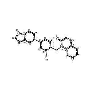 O=c1cnc2ccncc2n1Cc1c(F)cc(-c2ccc3occc3c2)cc1F